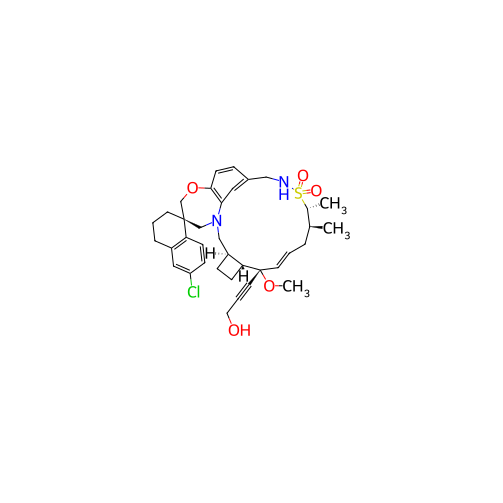 CO[C@@]1(C#CCO)/C=C/C[C@H](C)[C@@H](C)S(=O)(=O)NCc2ccc3c(c2)N(C[C@@H]2CC[C@H]21)C[C@@]1(CCCc2cc(Cl)ccc21)CO3